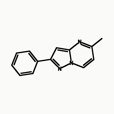 Cc1ccn2nc(-c3ccccc3)cc2n1